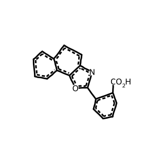 O=C(O)c1ccccc1-c1nc2ccc3ccccc3c2o1